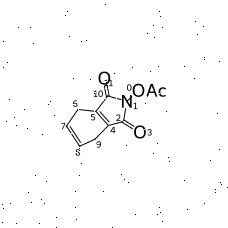 CC(=O)ON1C(=O)C2=C(CC=CC2)C1=O